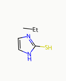 CCC.Sc1ncc[nH]1